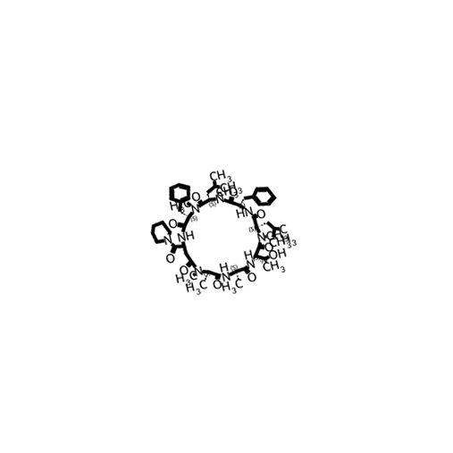 CC(C)C[C@H]1C(=O)N(C)[C@@H](Cc2ccccc2)C(=O)NC(C(=O)N2CCCCC2)CC(=O)N(C)[C@@H](C)C(=O)N[C@@H](C)C(=O)N[C@@H]([C@@H](C)O)C(=O)N(C)[C@@H](CC(C)C)C(=O)N[C@@H](Cc2ccccc2)C(=O)N1C